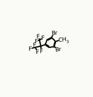 Cc1c(Br)cc(C(F)(C(F)(F)F)C(F)(F)F)cc1Br